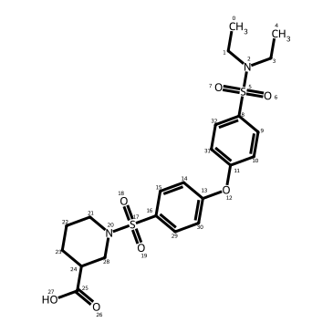 CCN(CC)S(=O)(=O)c1ccc(Oc2ccc(S(=O)(=O)N3CCCC(C(=O)O)C3)cc2)cc1